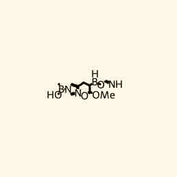 COC(=O)C(BOC=N)Cc1cn(B(C)O)cn1